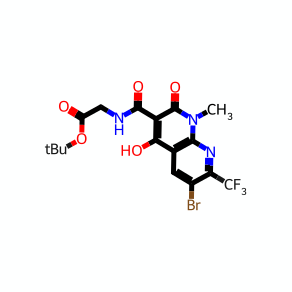 Cn1c(=O)c(C(=O)NCC(=O)OC(C)(C)C)c(O)c2cc(Br)c(C(F)(F)F)nc21